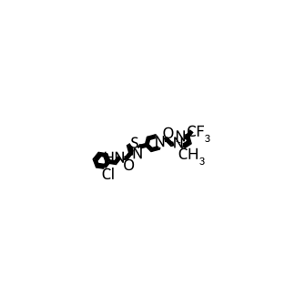 Cc1cc(C(F)(F)F)nn1CC(=O)N1CCC(c2nc(C(=O)NCc3ccccc3Cl)cs2)CC1